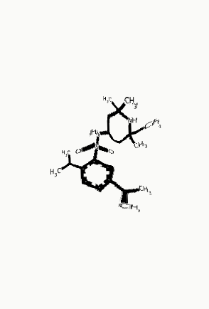 CC(C)c1ccc(C(C)C)c(S(=O)(=O)NC2CC(C)(C)NC(C)(C)C2)c1